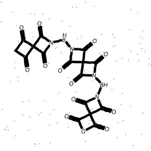 O=C1CC(=O)C12C(=O)N(BN1C(=O)C3(C1=O)C(=O)N(BN1C(=O)C4(C(=O)OC4=O)C1=O)C3=O)C2=O